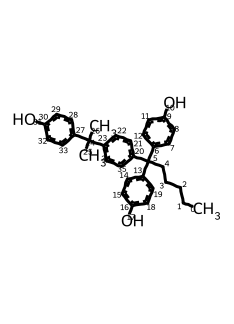 CCCCCC(c1ccc(O)cc1)(c1ccc(O)cc1)c1ccc(C(C)(C)c2ccc(O)cc2)cc1